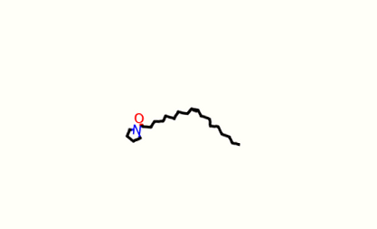 CCCCCCCC/C=C\CCCCCCCC(=O)N1CCCC1